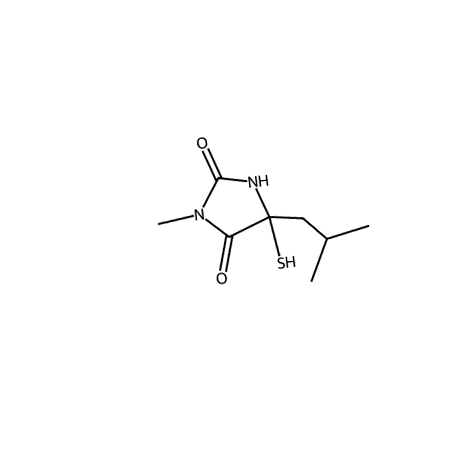 CC(C)CC1(S)NC(=O)N(C)C1=O